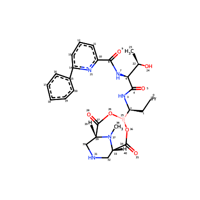 CC(C)C[C@H](NC(=O)[C@@H](NC(=O)c1cccc(-c2ccccc2)n1)[C@@H](C)O)B1OC(=O)[C@H]2CNC[C@@H](C(=O)O1)N2C